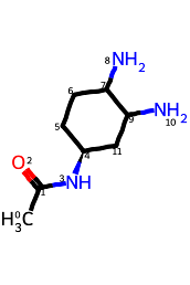 CC(=O)N[C@H]1CCC(N)C(N)C1